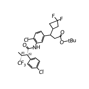 C[C@H]([C@H](C(=O)Nc1cc(C(CC(=O)OC(C)(C)C)C2CC(F)(F)C2)ccc1Cl)c1ccc(Cl)cc1)C(F)(F)F